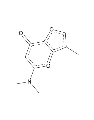 Cc1coc2c(=O)cc(N(C)C)oc12